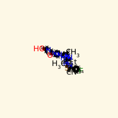 CCc1nn2c(C)cc(N3CCN(C(=O)CN4CC(O)C4)CC3)nc2c1N(C)c1nc(-c2ccc(F)cc2)c(C#N)s1